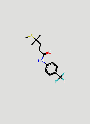 CSC(C)(C)CCC(=O)Nc1ccc(C(F)(F)F)cc1